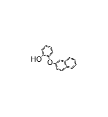 Oc1ccccc1Oc1ccc2ccccc2c1